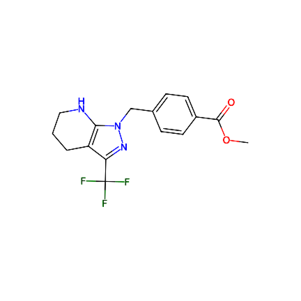 COC(=O)c1ccc(Cn2nc(C(F)(F)F)c3c2NCCC3)cc1